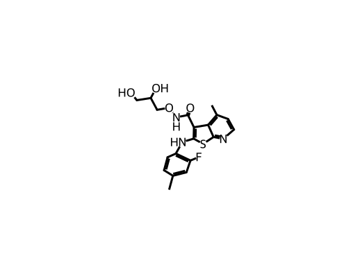 Cc1ccc(Nc2sc3nccc(C)c3c2C(=O)NOCC(O)CO)c(F)c1